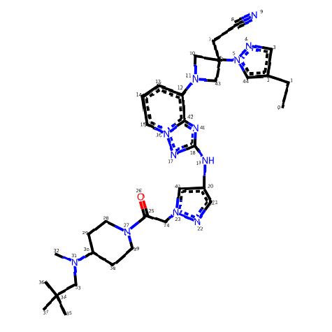 CCc1cnn(C2(CC#N)CN(c3cccn4nc(Nc5cnn(CC(=O)N6CCC(N(C)CC(C)(C)C)CC6)c5)nc34)C2)c1